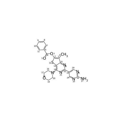 Cc1c(OC(=O)c2ccccc2)sc2c(N3CCOCC3)nc(-c3cnc(N)nc3)nc12